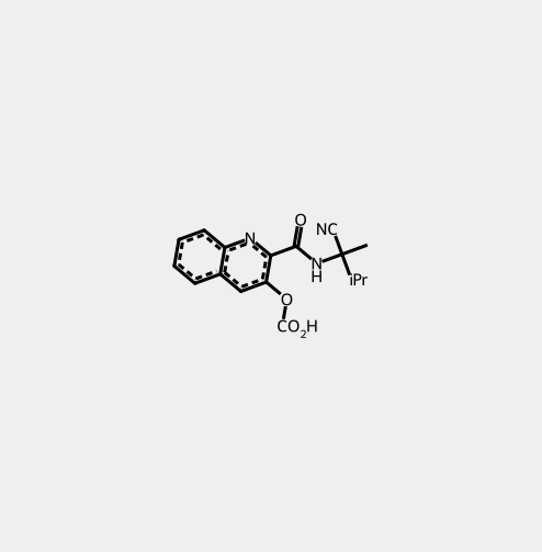 CC(C)C(C)(C#N)NC(=O)c1nc2ccccc2cc1OC(=O)O